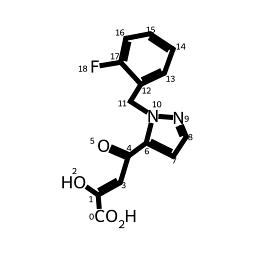 O=C(O)C(O)=CC(=O)c1ccnn1Cc1ccccc1F